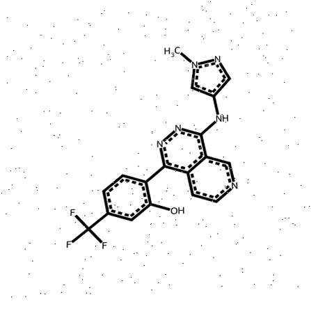 Cn1cc(Nc2nnc(-c3ccc(C(F)(F)F)cc3O)c3ccncc23)cn1